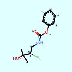 CC(C)(O)[C@H](F)CNC(=O)Oc1ccccc1